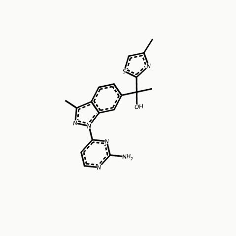 Cc1csc(C(C)(O)c2ccc3c(C)nn(-c4ccnc(N)n4)c3c2)n1